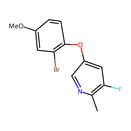 COc1ccc(Oc2cnc(C)c(F)c2)c(Br)c1